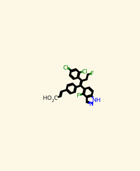 O=C(O)/C=C/c1ccc(/C(=C(/CCF)c2ccc(Cl)cc2Cl)c2ccc3[nH]ncc3c2F)cc1